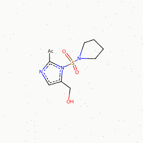 CC(=O)c1ncc(CO)n1S(=O)(=O)N1CCCC1